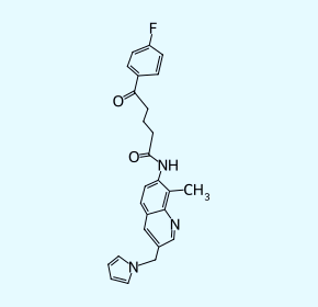 Cc1c(NC(=O)CCCC(=O)c2ccc(F)cc2)ccc2cc(Cn3cccc3)cnc12